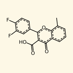 Cc1cccc2c(=O)c(C(=O)O)c(-c3ccc(F)c(F)c3)oc12